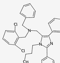 CCCCn1c(-c2ccccc2)nc(-c2ccccc2)c1CN(Cc1ccccc1)Cc1c(Cl)cccc1Cl